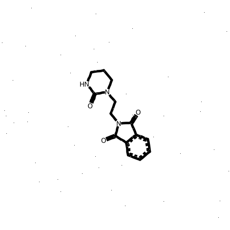 O=C1NCCCN1CCN1C(=O)c2ccccc2C1=O